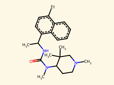 CCc1ccc(C(C)NC(=O)N(C)C2CCN(C)CC2(C)C)c2ccccc12